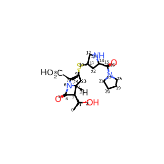 CC(O)C1C(=O)N2C(C(=O)O)=C(SC3CNC(C(=O)N4CCCC4)C3)C[C@H]12